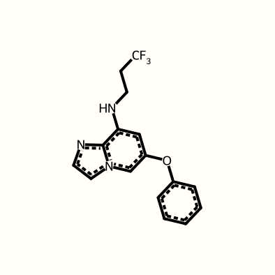 FC(F)(F)CCNc1cc(Oc2ccccc2)cn2ccnc12